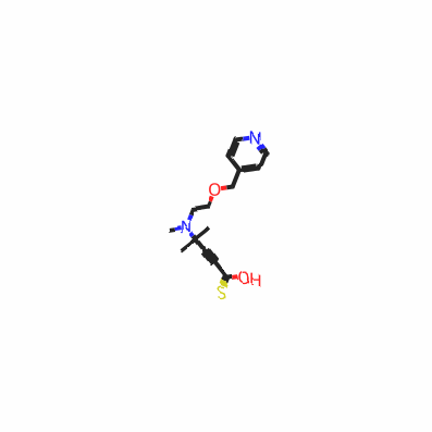 CN(CCOCc1ccncc1)C(C)(C)C#CC(O)=S